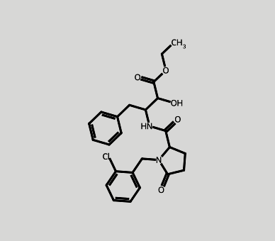 CCOC(=O)C(O)C(Cc1ccccc1)NC(=O)C1CCC(=O)N1Cc1ccccc1Cl